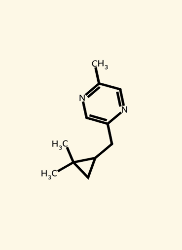 Cc1cnc(CC2CC2(C)C)cn1